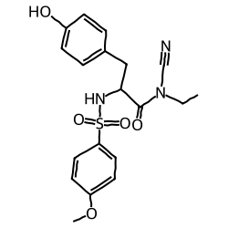 CCN(C#N)C(=O)C(Cc1ccc(O)cc1)NS(=O)(=O)c1ccc(OC)cc1